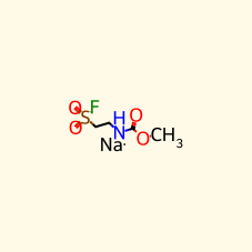 COC(=O)NCCS(=O)(=O)F.[Na]